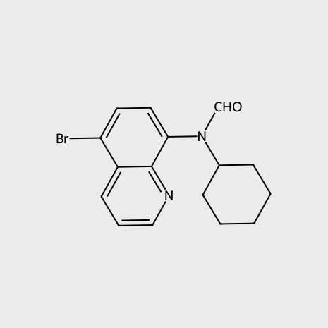 O=CN(c1ccc(Br)c2cccnc12)C1CCCCC1